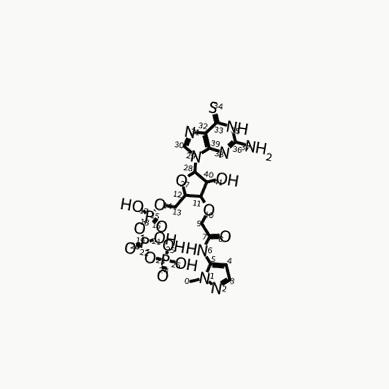 Cn1nccc1NC(=O)COC1C(COP(=O)(O)OP(=O)(O)OP(=O)(O)O)OC(n2cnc3c(=S)[nH]c(N)nc32)C1O